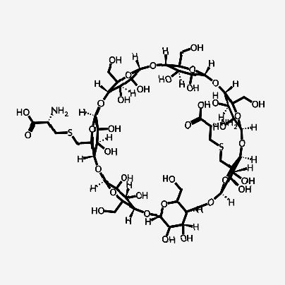 N[C@H](CSCC1O[C@@H]2O[C@@H]3C(CO)O[C@@H](O[C@@H]4C(CO)O[C@@H](O[C@@H]5C(CSC[C@@H](N)C(=O)O)O[C@@H](O[C@@H]6C(CO)O[C@H](O[C@@H]7C(CO)O[C@H](O[C@@H]8C(CO)O[C@@H](O[C@H]1[C@H](O)C2O)C(O)[C@H]8O)C(O)[C@H]7O)C(O)[C@H]6O)C(O)[C@H]5O)C(O)[C@@H]4O)C(O)[C@H]3O)C(=O)O